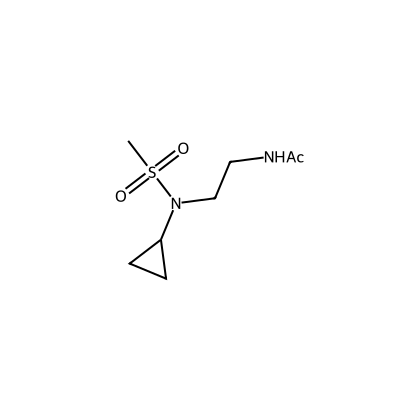 CC(=O)NCCN(C1CC1)S(C)(=O)=O